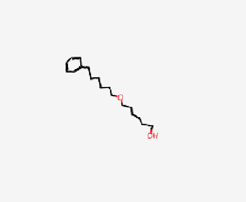 OCCCCCCOCCCCCCc1ccccc1